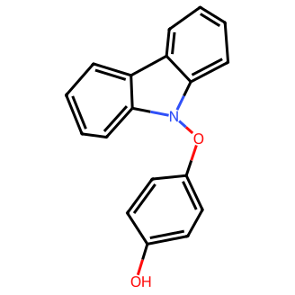 Oc1ccc(On2c3ccccc3c3ccccc32)cc1